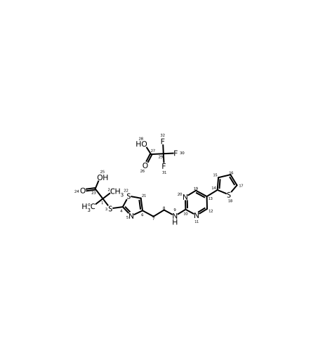 CC(C)(Sc1nc(CCNc2ncc(-c3cccs3)cn2)cs1)C(=O)O.O=C(O)C(F)(F)F